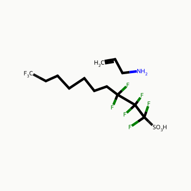 C=CCN.O=S(=O)(O)C(F)(F)C(F)(F)C(F)(F)CCCCCCC(F)(F)F